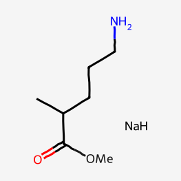 COC(=O)C(C)CCCN.[NaH]